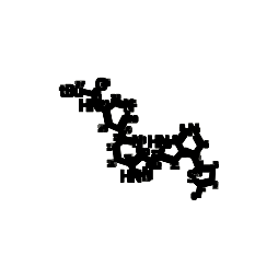 Cc1ccc(-c2cncc3[nH]c(-c4n[nH]c5ccc(-c6cncc(NC(=O)C(C)(C)C)c6)nc45)cc23)s1